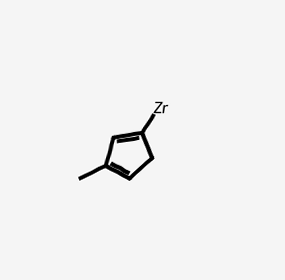 CC1=CC[C]([Zr])=C1